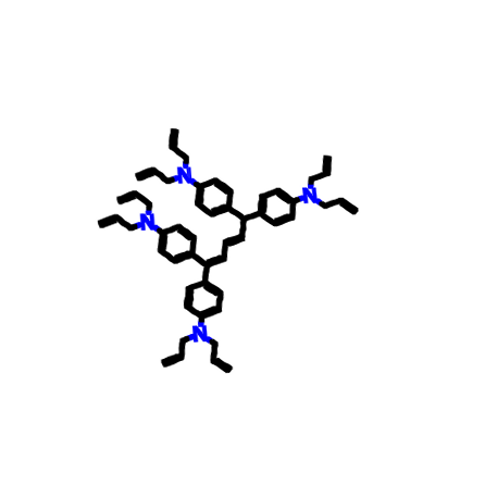 C=CCN(CC=C)c1ccc(C(=CC=CC(c2ccc(N(CC=C)CC=C)cc2)c2ccc(N(CC=C)CC=C)cc2)c2ccc(N(CC=C)CC=C)cc2)cc1